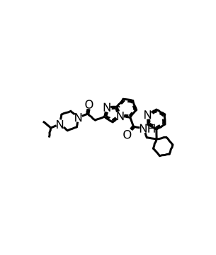 CC(C)N1CCN(C(=O)Cc2cn3c(C(=O)NCC4(c5cccnc5)CCCCC4)cccc3n2)CC1